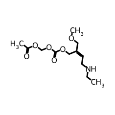 CCNCC=C(COC)COC(=O)OCOC(C)=O